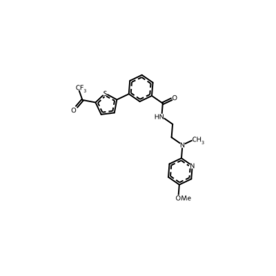 COc1ccc(N(C)CCNC(=O)c2cccc(-c3ccc(C(=O)C(F)(F)F)s3)c2)nc1